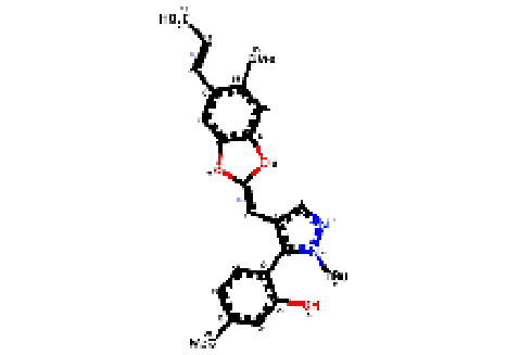 CCCCn1ncc(/C=C2/Oc3cc(/C=C/C(=O)O)c(OC)cc3O2)c1-c1ccc(OC)cc1O